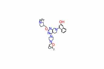 C=CC(=O)N1CCN(c2nc(OCC3CCN(CCC)C3)nc3c2CCN(c2cc(O)cc4ccccc24)C3)CC1